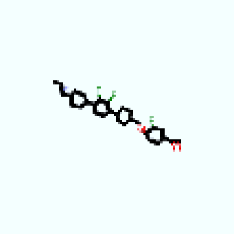 C/C=C/c1ccc(-c2ccc(C3CCC(COc4ccc(C5CO5)cc4F)CC3)c(F)c2F)cc1